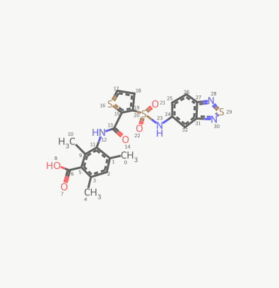 Cc1cc(C)c(C(=O)O)c(C)c1NC(=O)c1sccc1S(=O)(=O)Nc1ccc2nsnc2c1